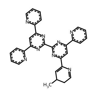 CC1C=C(c2cc(-c3ccccn3)nc(-c3nc(-c4ccccn4)cc(-c4ccccn4)n3)n2)N=CC1